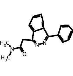 CN(C)C(=O)Cc1nnc(-c2ccccc2)c2ccccc12